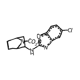 O=C(O)N1C2CCC1C(Nc1nc3cc(Cl)ccc3o1)C2